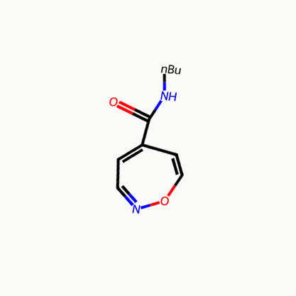 CCCCNC(=O)C1=CC=NOC=C1